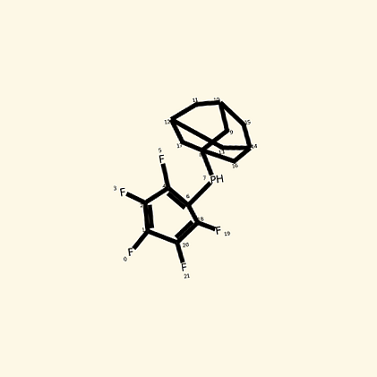 Fc1c(F)c(F)c(PC23CC4CC(CC(C4)C2)C3)c(F)c1F